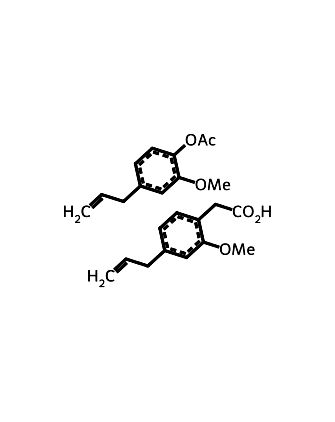 C=CCc1ccc(CC(=O)O)c(OC)c1.C=CCc1ccc(OC(C)=O)c(OC)c1